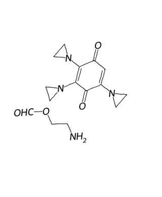 NCCOC=O.O=C1C=C(N2CC2)C(=O)C(N2CC2)=C1N1CC1